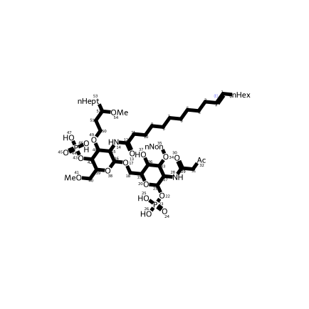 CCCCCC/C=C/CCCCCCCCCC(=O)NC1C(OCC2OC(OP(=O)(O)O)C(NC(=O)CC(C)=O)C(OCCCCCCCCC)C2O)OC(COC)C(OP(=O)(O)O)C1OCCC(CCCCCCC)OC